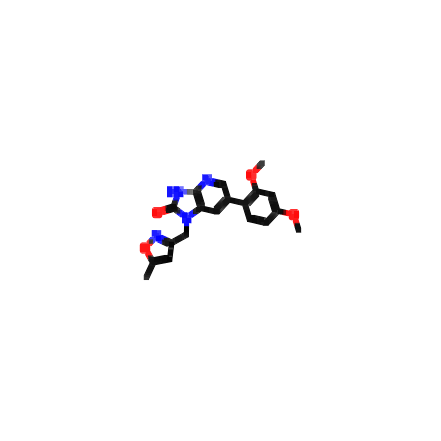 COc1ccc(-c2cnc3[nH]c(=O)n(Cc4cc(C)on4)c3c2)c(OC)c1